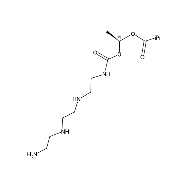 CC(C)C(=O)O[C@H](C)OC(=O)NCCNCCNCCN